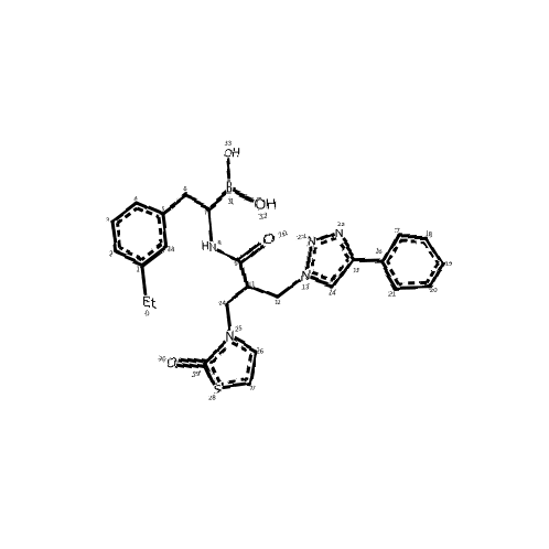 CCc1cccc(CC(NC(=O)C(Cn2cc(-c3ccccc3)nn2)Cn2ccsc2=O)B(O)O)c1